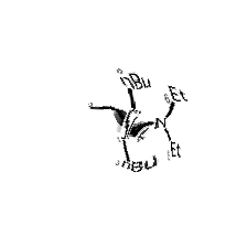 CCCC[Si](C)(CCCC)N(CC)CC